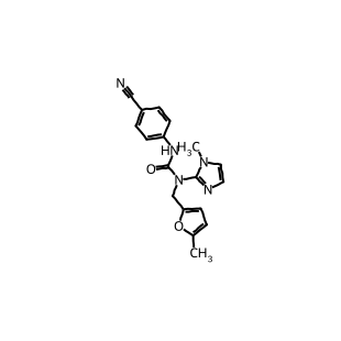 Cc1ccc(CN(C(=O)Nc2ccc(C#N)cc2)c2nccn2C)o1